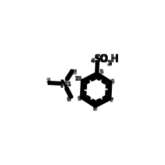 CN(C)C.O=S(=O)(O)c1ccccc1